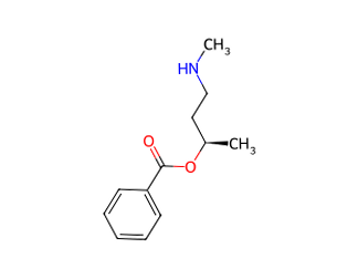 CNCC[C@@H](C)OC(=O)c1ccccc1